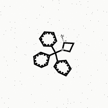 CC(=O)[C@@H]1CCN1C(c1ccccc1)(c1ccccc1)c1ccccc1